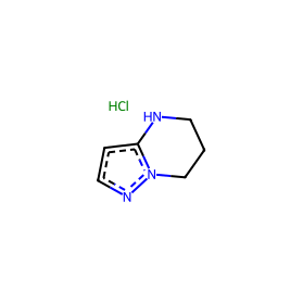 Cl.c1cc2n(n1)CCCN2